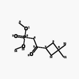 COP(=O)(CC(=O)C1CC(C)(C)C1)OC